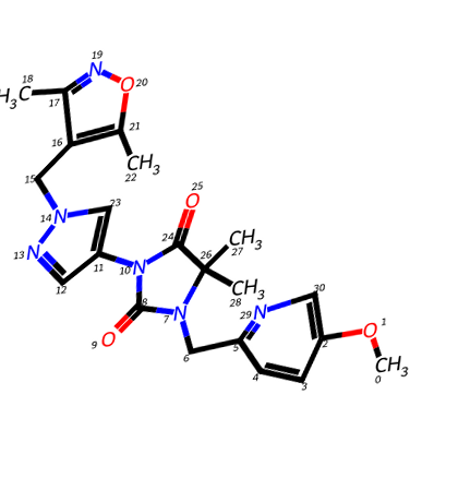 COc1ccc(CN2C(=O)N(c3cnn(Cc4c(C)noc4C)c3)C(=O)C2(C)C)nc1